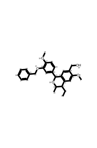 CCC1c2cc(OC)c(CO)cc2C(c2ccc(OC)c(OCc3ccccc3)c2)OC1C